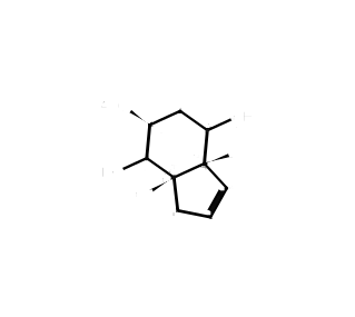 CC(=O)O[C@H]1CC(C)[C@@H]2C=CC[C@@H]2C1C